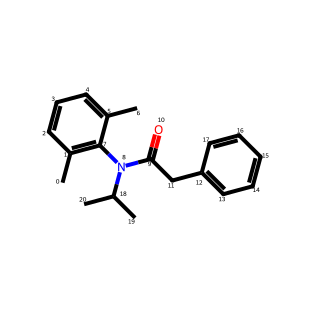 Cc1cccc(C)c1N(C(=O)Cc1ccccc1)C(C)C